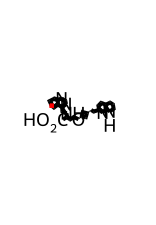 O=C(O)C(CCO[C@H]1C[C@@H](CCc2ccc3c(n2)NCCC3)C1)NCc1ncnc2ccccc12